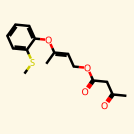 CSc1ccccc1O/C(C)=C/COC(=O)CC(C)=O